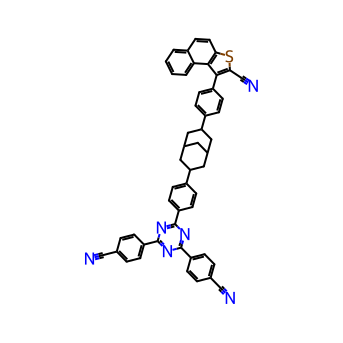 N#Cc1ccc(-c2nc(-c3ccc(C#N)cc3)nc(-c3ccc(C4CC5CC(C4)CC(c4ccc(-c6c(C#N)sc7ccc8ccccc8c67)cc4)C5)cc3)n2)cc1